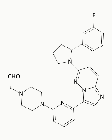 O=CCN1CCN(c2cccc(-c3cnc4ccc(N5CCC[C@@H]5c5cccc(F)c5)nn34)n2)CC1